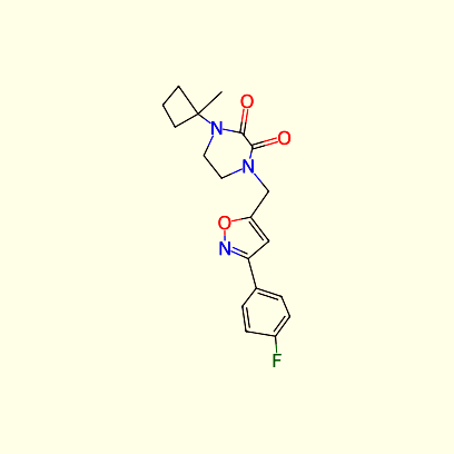 CC1(N2CCN(Cc3cc(-c4ccc(F)cc4)no3)C(=O)C2=O)CCC1